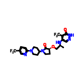 C[C@@H](CO[C@@H]1CCN(C2CCN(c3ccc(C(F)(F)F)cn3)CC2)C1=O)Nc1cn[nH]c(=O)c1C(F)(F)F